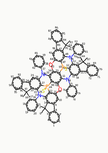 CC1(C)c2ccccc2-c2cc3c4c(c21)N(c1ccccc1)c1c2c(cc5c1P4(=S)c1c(c4c6c(c1N5c1ccccc1)Oc1cc5c(c7c1P6(=S)c1c(cc6c(c1N7c1ccccc1)C(C)(C)c1ccccc1-6)N4c1ccccc1)C(C)(C)c1ccccc1-5)O3)-c1ccccc1C2(C)C